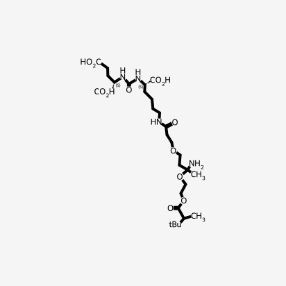 CC(C(=O)OCCOC(C)(N)CCOCCC(=O)NCCCC[C@H](NC(=O)N[C@@H](CCC(=O)O)C(=O)O)C(=O)O)C(C)(C)C